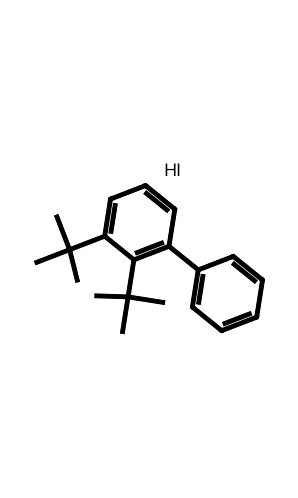 CC(C)(C)c1cccc(-c2ccccc2)c1C(C)(C)C.I